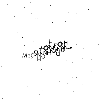 C#CCNC(=O)c1cccc(F)c1Nc1nc(Nc2ccc3c(c2)NC(=O)C(NC(=O)COC)CC3(C)C)ncc1Cl